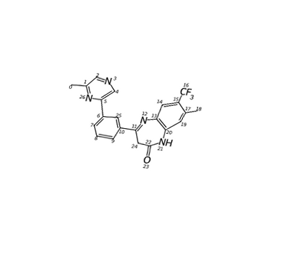 Cc1cncc(-c2cccc(C3=Nc4cc(C(F)(F)F)c(C)cc4NC(=O)C3)c2)n1